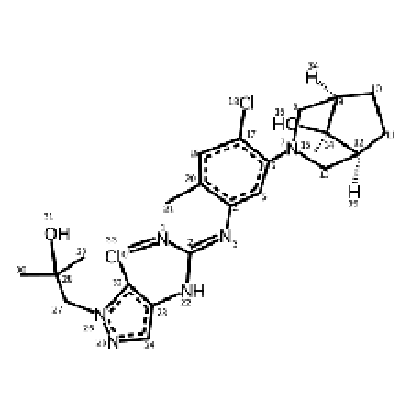 C=N/C(=N\c1cc(N2C[C@H]3CC[C@@H](C2)[C@@]3(C)O)c(Cl)cc1C)Nc1cnn(CC(C)(C)O)c1Cl